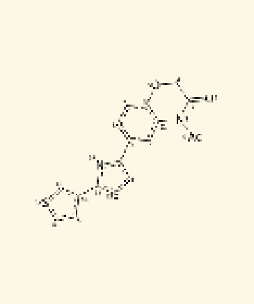 CC(=O)N1C(=O)COc2ccc(-c3csc(-c4ccsc4)n3)cc21